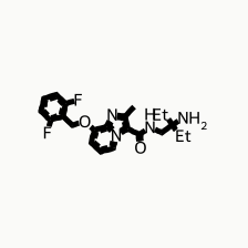 CCC(N)(CC)CNC(=O)c1c(C)nc2c(OCc3c(F)cccc3F)cccn12